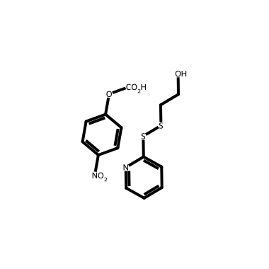 O=C(O)Oc1ccc([N+](=O)[O-])cc1.OCCSSc1ccccn1